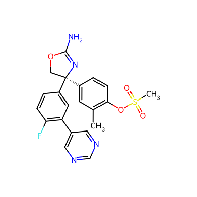 Cc1cc([C@]2(c3ccc(F)c(-c4cncnc4)c3)COC(N)=N2)ccc1OS(C)(=O)=O